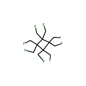 FCC1(CF)C(CF)(CF)C(CF)(CF)C1(CF)CF